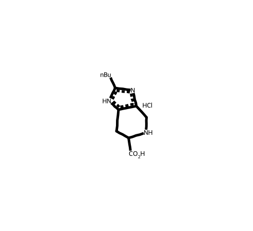 CCCCc1nc2c([nH]1)CC(C(=O)O)NC2.Cl